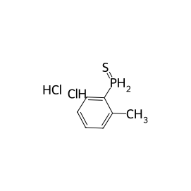 Cc1ccccc1[PH2]=S.Cl.Cl